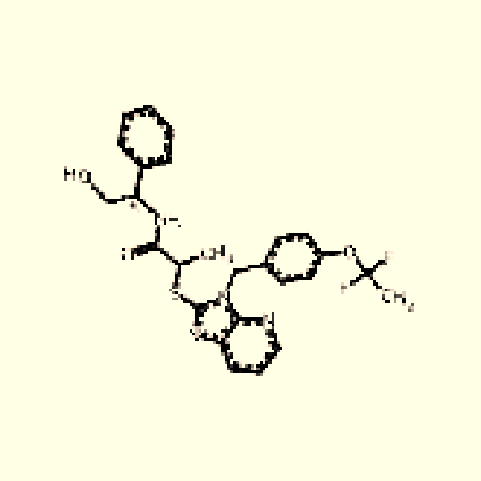 CC(Sc1nc2cccnc2n1Cc1ccc(OC(C)(F)F)cc1)C(=O)N[C@@H](CO)c1ccccc1